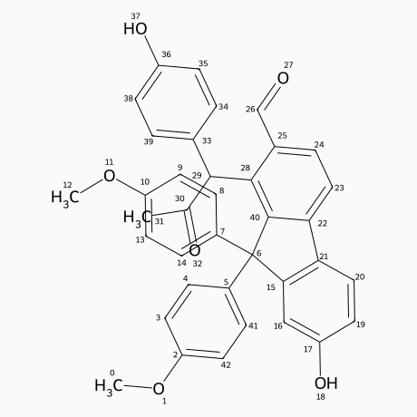 COc1ccc(C2(c3ccc(OC)cc3)c3cc(O)ccc3-c3ccc(C=O)c(C(C(C)=O)c4ccc(O)cc4)c32)cc1